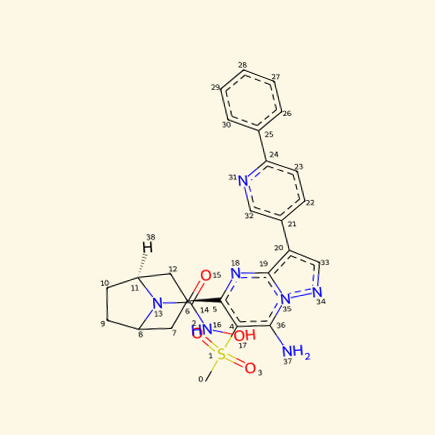 CS(=O)(=O)c1c([C@H]2CC3CC[C@@H](C2)N3C(=O)NO)nc2c(-c3ccc(-c4ccccc4)nc3)cnn2c1N